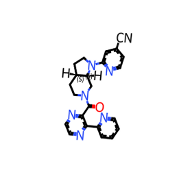 N#Cc1ccnc(N2CC[C@H]3CCN(C(=O)c4nccnc4-c4ccccn4)C[C@H]32)c1